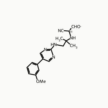 COc1cccc(-c2cnc(NCC(C)(C)N[C@H]([C]=O)C#N)nc2)c1